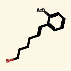 CC(=O)Oc1ccccc1C=CCCCCBr